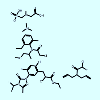 C=CCN(CC=C)C(=O)C(Cl)Cl.CCOC(=O)C(Cl)Cc1cc(-n2nc(C)n(C(F)F)c2=O)c(F)cc1Cl.CCc1cccc(C)c1N(C(=O)CCl)C(C)COC.C[S+](C)C.O=C(O)CNCP(=O)([O-])O